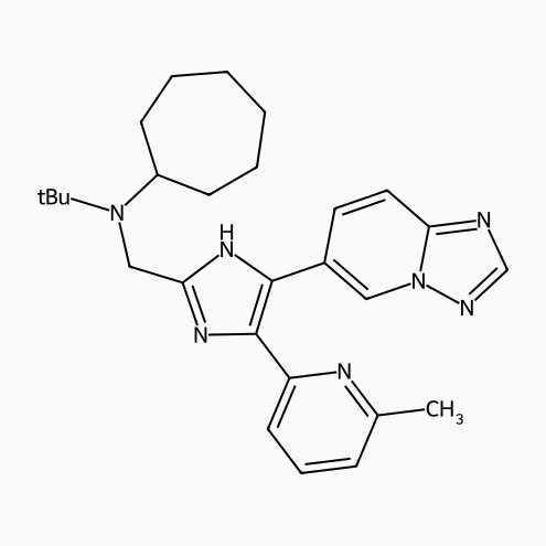 Cc1cccc(-c2nc(CN(C3CCCCCC3)C(C)(C)C)[nH]c2-c2ccc3ncnn3c2)n1